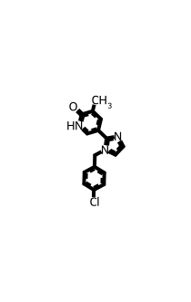 Cc1cc(-c2nccn2Cc2ccc(Cl)cc2)c[nH]c1=O